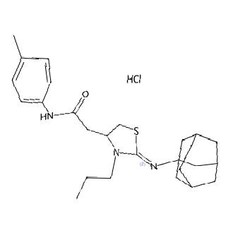 CCCN1/C(=N/C23CC4CC(CC(C4)C2)C3)SCC1CC(=O)Nc1ccc(C)cc1.Cl